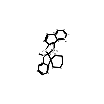 CN1c2ccccc2C2(CCCCC2)C12C=Nc1c(ccc3cccnc13)O2